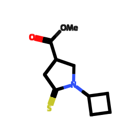 COC(=O)C1CC(=S)N(C2CCC2)C1